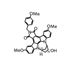 COc1ccc(CN2C(=O)c3c(c4c5cc(OC)ccc5n5c4c4c3c3cc(OC)ccc3n4C3C[C@H]5C[C@H]3O)C2=O)cc1